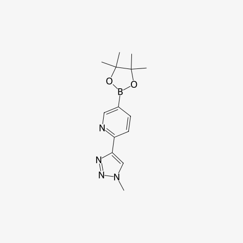 Cn1cc(-c2ccc(B3OC(C)(C)C(C)(C)O3)cn2)nn1